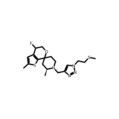 CSCCn1cc(CN2CCC3(C[C@@H]2C)OCC(F)c2cc(C)sc23)nn1